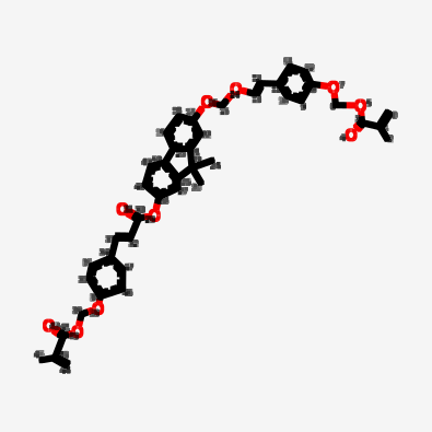 C=C(C)C(=O)OCOc1ccc(C=COCOc2ccc3c(c2)C(C)(C)c2cc(OC(=O)C=Cc4ccc(OCOC(=O)C(=C)C)cc4)ccc2-3)cc1